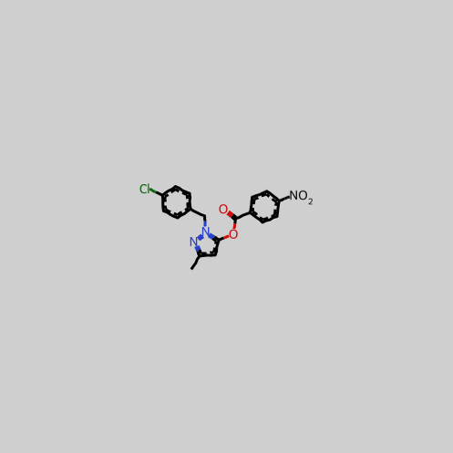 Cc1cc(OC(=O)c2ccc([N+](=O)[O-])cc2)n(Cc2ccc(Cl)cc2)n1